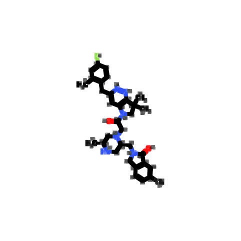 Cc1cc(F)ccc1Cc1cc2c(nn1)C(C)(C)CN2C(=O)CN1C[C@@H](C)NC[C@@H]1CN1Cc2ccc(C#N)cc2C1=O